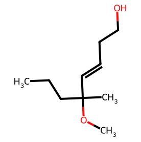 CCCC(C)(C=CCCO)OC